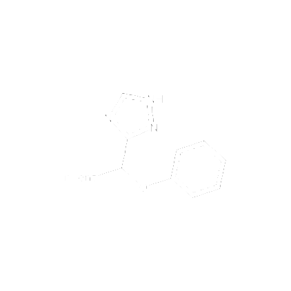 CCCCCC(Oc1ccccc1)c1nc[nH]n1